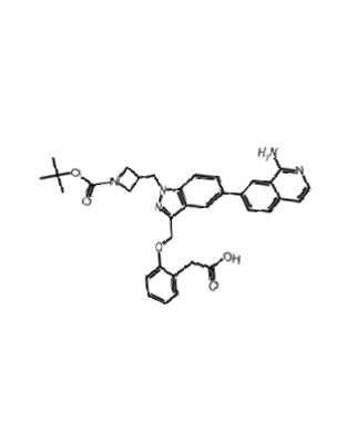 CC(C)(C)OC(=O)N1CC(Cn2nc(COc3ccccc3CC(=O)O)c3cc(-c4ccc5ccnc(N)c5c4)ccc32)C1